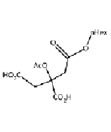 CCCCCCOC(=O)CC(CC(=O)O)(OC(C)=O)C(=O)O